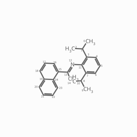 CC(C)c1cccc(C(C)C)c1N=C(Cl)c1cccc2ccccc12